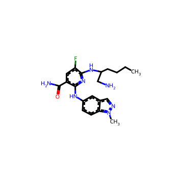 CCCCC(CN)Nc1nc(Nc2ccc3c(cnn3C)c2)c(C(N)=O)cc1F